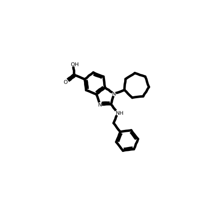 O=C(O)c1ccc2c(c1)nc(NCc1ccccc1)n2C1CCCCCC1